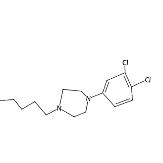 CCCCCN1CCN(c2ccc(Cl)c(Cl)c2)CC1